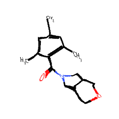 Cc1cc(C)c(C(=O)N2CC3COCC3C2)c(C)c1